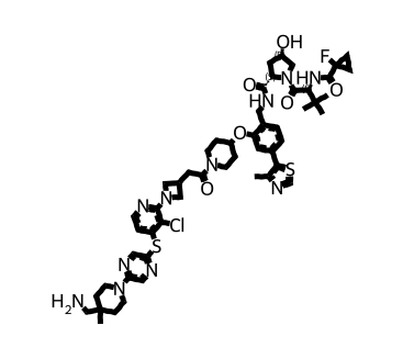 Cc1ncsc1-c1ccc(CNC(=O)[C@@H]2C[C@@H](O)CN2C(=O)[C@@H](NC(=O)C2(F)CC2)C(C)(C)C)c(OC2CCN(C(=O)CC3CN(c4nccc(Sc5cnc(N6CCC(C)(CN)CC6)cn5)c4Cl)C3)CC2)c1